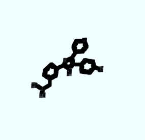 CCN(CC)Cc1cccc(-c2nc(-c3ccncc3)c(-c3ccc(Cl)cc3)[nH]2)c1